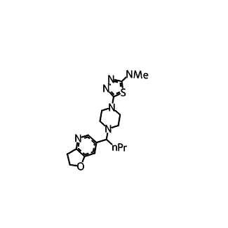 CCCC(c1cnc2c(c1)OCC2)N1CCN(c2nnc(NC)s2)CC1